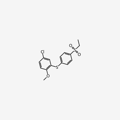 CCS(=O)(=O)c1ccc(Sc2cc(Cl)ccc2OC)cc1